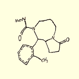 CNC(=O)N1CCCN2C(=O)CCC2C1c1ccccc1C